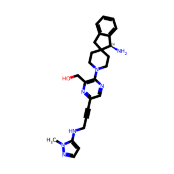 Cn1nccc1NCC#Cc1cnc(N2CCC3(CC2)Cc2ccccc2[C@H]3N)c(CO)n1